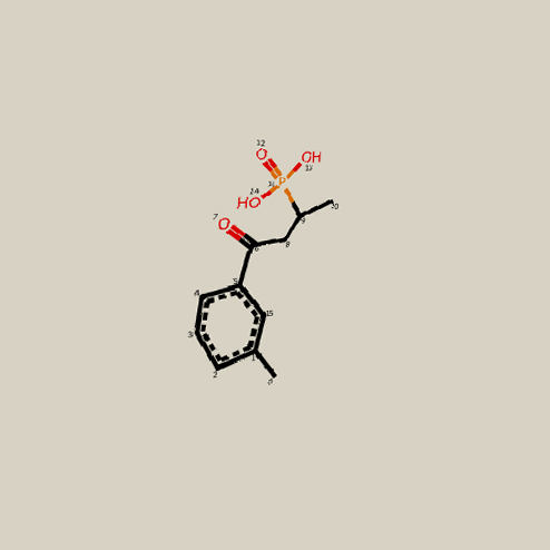 Cc1cccc(C(=O)CC(C)P(=O)(O)O)c1